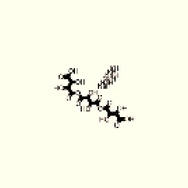 O=C(O)C(O)C(O)C(=O)OC(=O)C(O)C(O)C(=O)OC(=O)C(O)C(O)C(=O)O.[KH].[KH].[NaH].[NaH].[NaH].[NaH]